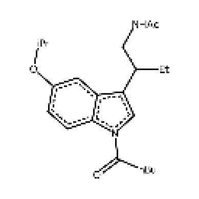 CCCCC(=O)n1cc(C(CC)CNC(C)=O)c2cc(OC(C)C)ccc21